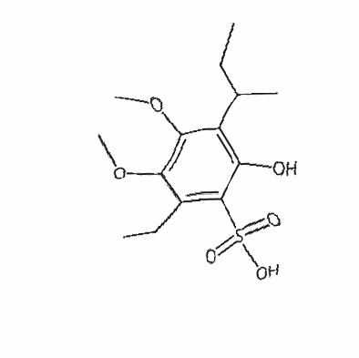 CCc1c(OC)c(OC)c(C(C)CC)c(O)c1S(=O)(=O)O